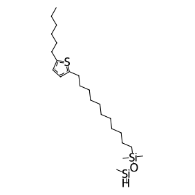 CCCCCCc1ccc(CCCCCCCCCCC[Si](C)(C)O[SiH](C)C)s1